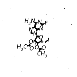 CC(=O)O[C@@H]1[C@H](OC(C)=O)[C@@H](CI)O[C@H]1n1cnc2c(N)nc(F)nc21